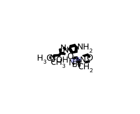 C=N/C(=C\C(=N/CC)Oc1cc(N)ccc1-n1cc(C(O)CN(C)C)cn1)N1CCOCC1